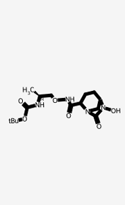 C[C@@H](CONC(=O)C1CCC2CN1C(=O)N2O)NC(=O)OC(C)(C)C